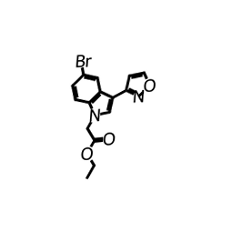 CCOC(=O)Cn1cc(-c2ccon2)c2cc(Br)ccc21